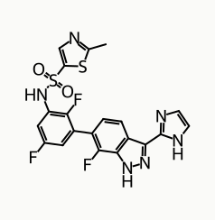 Cc1ncc(S(=O)(=O)Nc2cc(F)cc(-c3ccc4c(-c5ncc[nH]5)n[nH]c4c3F)c2F)s1